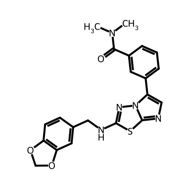 CN(C)C(=O)c1cccc(-c2cnc3sc(NCc4ccc5c(c4)OCO5)nn23)c1